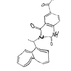 CC(c1cccc2ccccc12)n1c(=O)[nH]c2ccc(C(=O)O)cc2c1=O